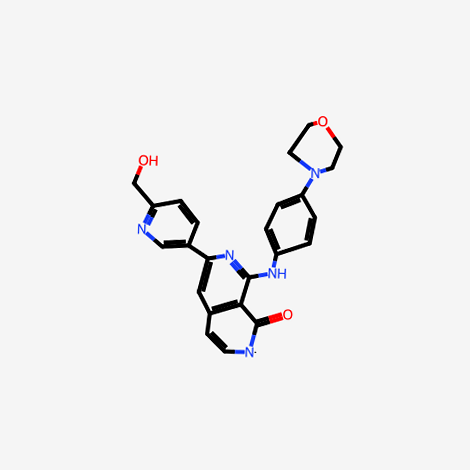 O=C1[N]C=Cc2cc(-c3ccc(CO)nc3)nc(Nc3ccc(N4CCOCC4)cc3)c21